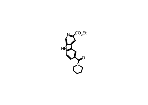 CCOC(=O)c1cc2c(cn1)[nH]c1ccc(C(=O)N3CCCCC3)cc12